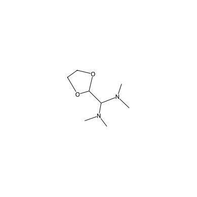 CN(C)C(C1OCCO1)N(C)C